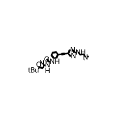 CN(C)CCNc1ncc(C#Cc2cccc(NC(=O)Nc3cc(C(C)(C)C)on3)c2)cn1